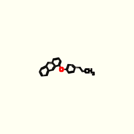 CCCc1ccc(Oc2cccc3cc4ccccc4cc23)cc1